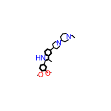 CCN1CCCC(N2CCC(c3ccc4[nH]c(-c5ccc(OC)c(OC)c5)c(C)c4c3)CC2)CC1